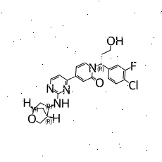 O=c1cc(-c2ccnc(N[C@@H]3C[C@@H]4C[C@H]3CO4)n2)ccn1[C@H](CCO)c1ccc(Cl)c(F)c1